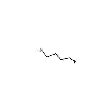 [NH]CCCCF